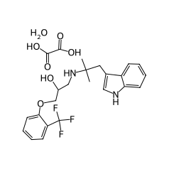 CC(C)(Cc1c[nH]c2ccccc12)NCC(O)COc1ccccc1C(F)(F)F.O.O=C(O)C(=O)O